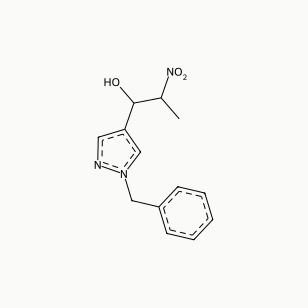 CC(C(O)c1cnn(Cc2ccccc2)c1)[N+](=O)[O-]